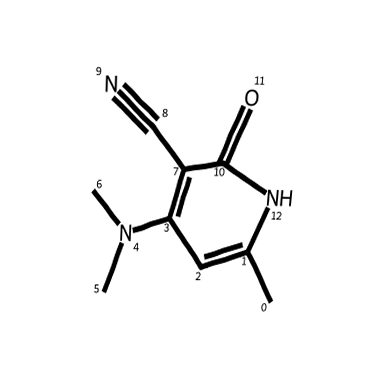 Cc1[c]c(N(C)C)c(C#N)c(=O)[nH]1